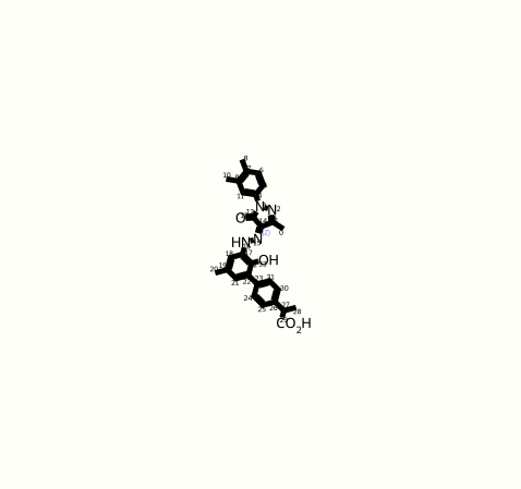 CC1=NN(c2ccc(C)c(C)c2)C(=O)/C1=N\Nc1cc(C)cc(-c2ccc(C(C)C(=O)O)cc2)c1O